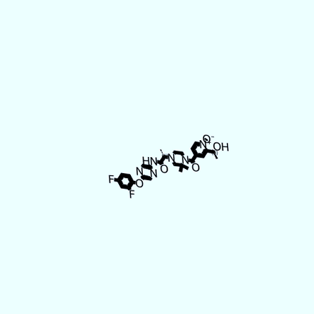 C[C@H](O)c1cc(C(=O)N2CCN([C@@H](C)C(=O)Nc3cnc(Oc4ccc(F)cc4F)cn3)CC2(C)C)cc[n+]1[O-]